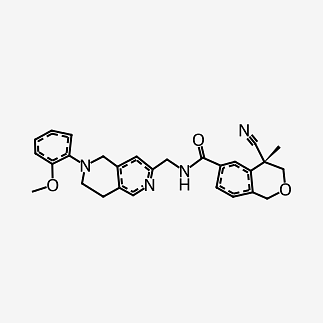 COc1ccccc1N1CCc2cnc(CNC(=O)c3ccc4c(c3)[C@](C)(C#N)COC4)cc2C1